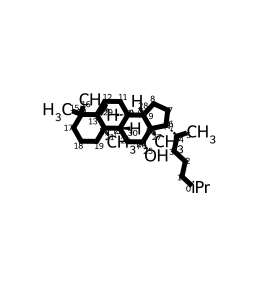 CC(C)CCCC(C)[C@H]1CC[C@H]2[C@@H]3CC=C4C(C)(C)CCC[C@]4(C)[C@H]3C[C@@H](O)[C@]12C